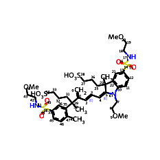 C=C(/C=C/C=C1/N(CCOC)c2ccc(S(=O)(=O)NCCOC)cc2C1(C)CCCS(=O)(=O)O)C(C)(CCCS(=O)(=O)O)c1cc(S(=O)(=O)NCCOC)ccc1C